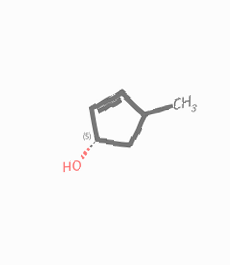 CC1C=C[C@@H](O)C1